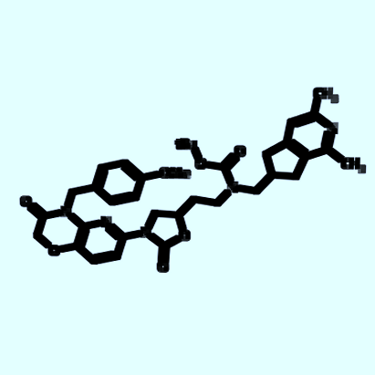 COc1ccc(CN2C(=O)COc3ccc(N4CC(CCN(CC5Cc6cc(C)nc(C)c6C5)C(=O)OC(C)(C)C)OC4=O)nc32)cc1